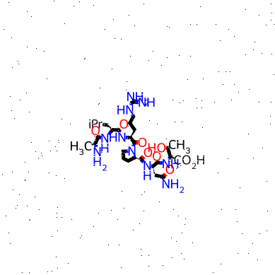 CC(C)C[C@H](NC(=O)[C@H](C)N)C(=O)N[C@@H](CCCNC(=N)N)C(=O)N1CCC[C@H]1C(=O)N[C@@H](CC(N)=O)C(=O)N[C@H](C(=O)O)[C@@H](C)O